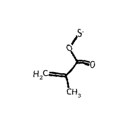 C=C(C)C(=O)O[S]